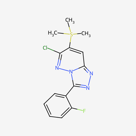 CS(C)(C)c1cc2nnc(-c3ccccc3F)n2nc1Cl